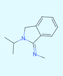 C/N=C1\c2ccccc2CN1C(C)C